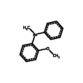 COc1ccccc1[As](C)c1ccccc1